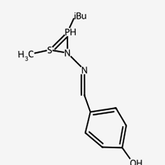 CCC(C)[PH]1=S(C)N1N=Cc1ccc(O)cc1